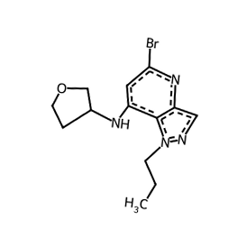 CCCn1ncc2nc(Br)cc(NC3CCOC3)c21